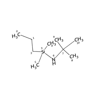 CCC[Si](C)(C)NC(C)(C)C